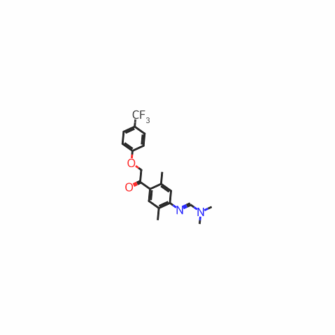 Cc1cc(C(=O)COc2ccc(C(F)(F)F)cc2)c(C)cc1N=CN(C)C